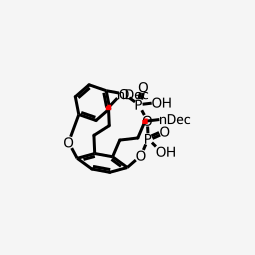 CCCCCCCCCCCCCc1c2ccc(c1CCCCCCCCCCCCC)OP(=O)(O)OP(=O)(O)Oc1ccc(cc1)O2